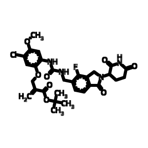 C=C(COc1cc(Cl)c(OC)cc1NC(=O)NCc1ccc2c(c1F)CN(C1CCC(=O)NC1=O)C2=O)C(=O)OC(C)(C)C